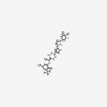 O=C(Cn1cc(Cl)cc(C(F)(F)F)c1=O)N1CCC(c2nc(C3=NOC(c4ccc(Cl)c(Cl)c4)C3)cs2)CC1